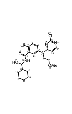 COCCN(c1ccc(Cl)c(C(=O)NC(O)C2CCCCC2)c1)c1ccnc(Cl)n1